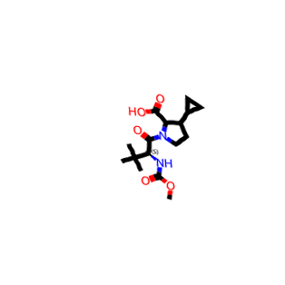 COC(=O)N[C@H](C(=O)N1CCC(C2CC2)C1C(=O)O)C(C)(C)C